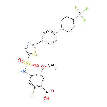 COc1cc(C(=O)O)c(F)cc1NS(=O)(=O)c1cnc(-c2ccc([C@H]3CC[C@@H](C(F)(F)F)CC3)cc2)s1